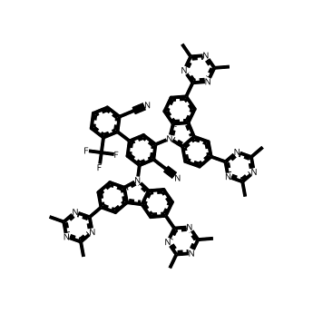 Cc1nc(C)nc(-c2ccc3c(c2)c2cc(-c4nc(C)nc(C)n4)ccc2n3-c2cc(-c3c(C#N)cccc3C(F)(F)F)cc(-n3c4ccc(-c5nc(C)nc(C)n5)cc4c4cc(-c5nc(C)nc(C)n5)ccc43)c2C#N)n1